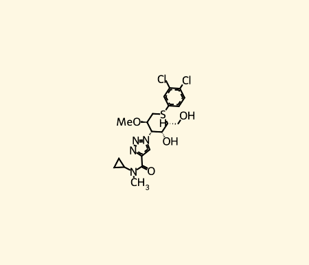 CO[C@H]1C[SH](c2ccc(Cl)c(Cl)c2)[C@H](CO)[C@H](O)[C@@H]1n1cc(C(=O)N(C)C2CC2)nn1